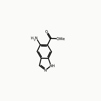 COC(=O)c1cc2[nH]ncc2cc1N